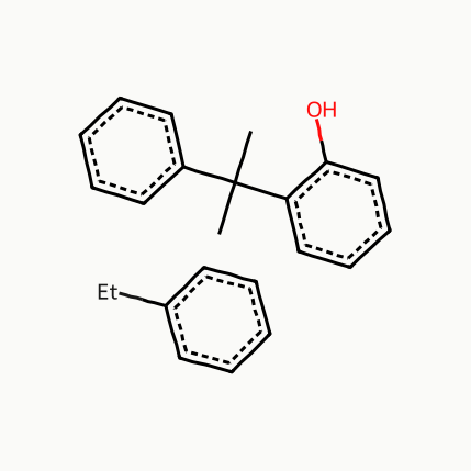 CC(C)(c1ccccc1)c1ccccc1O.CCc1ccccc1